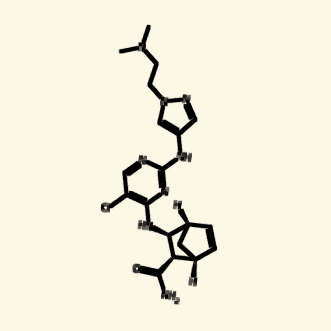 CN(C)CCn1cc(Nc2ncc(Cl)c(N[C@@H]3[C@H](C(N)=O)[C@H]4C=C[C@@H]3C4)n2)cn1